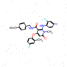 COc1ccc(CNC(=O)c2c(Oc3ccc(F)cc3C)cc(=O)n(C)c2Nc2ccc(I)cc2F)cc1